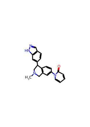 CN1Cc2cc(-n3ccccc3=O)ccc2C(c2ccc3cn[nH]c3c2)C1